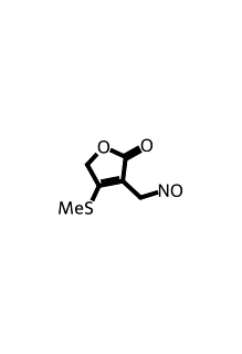 CSC1=C(CN=O)C(=O)OC1